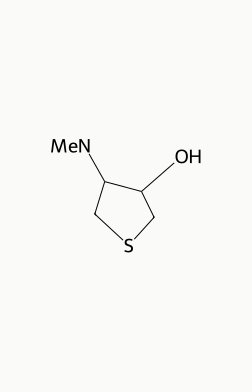 CNC1CSCC1O